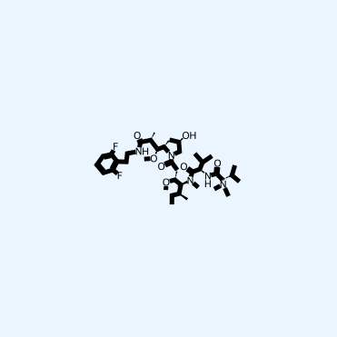 CC[C@H](C)[C@@H]([C@@H](CC(=O)N1C[C@@H](O)C[C@H]1[C@H](OC)[C@@H](C)C(=O)NCCc1c(F)cccc1F)OC)N(C)C(=O)[C@@H](NC(=O)[C@H](C(C)C)N(C)C)C(C)C